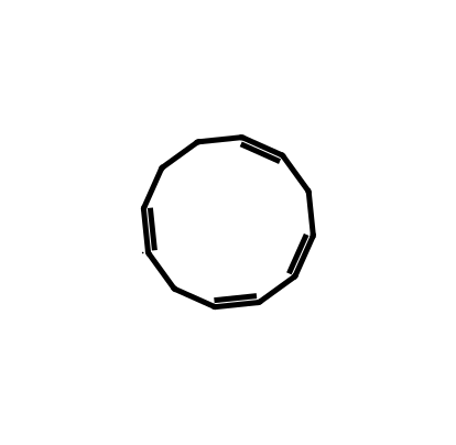 [C]1=CCCC=CCC=CC=CC1